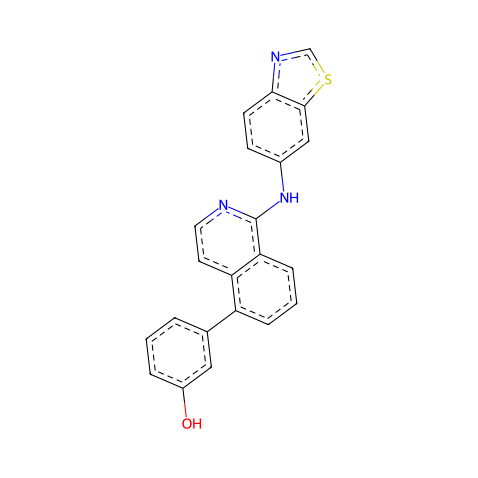 Oc1cccc(-c2cccc3c(Nc4ccc5ncsc5c4)nccc23)c1